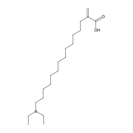 C=C(CCCCCCCCCCCCCN(CC)CC)C(=O)O